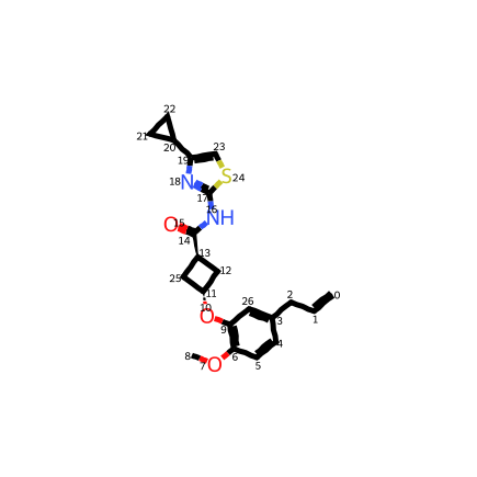 C=CCc1ccc(OC)c(O[C@H]2C[C@H](C(=O)Nc3nc(C4CC4)cs3)C2)c1